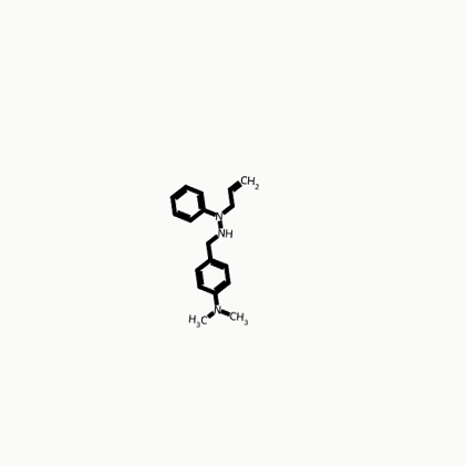 C=CCN(NCc1ccc(N(C)C)cc1)c1ccccc1